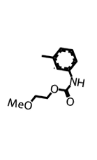 COCCOC(=O)Nc1[c]c(C)ccc1